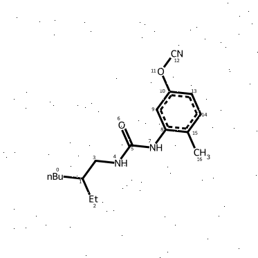 CCCCC(CC)CNC(=O)Nc1cc(OC#N)ccc1C